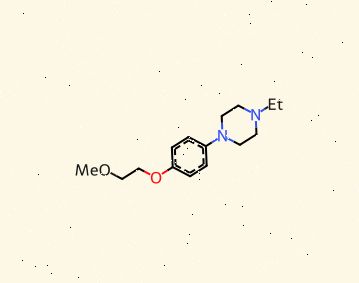 [CH2]CN1CCN(c2ccc(OCCOC)cc2)CC1